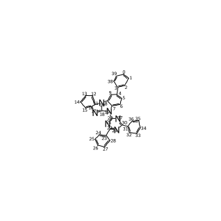 c1ccc(-c2ccc3c(c2)n2c4ccccc4nc2n3-c2nc(-c3ccccc3)nc(-c3ccccc3)n2)cc1